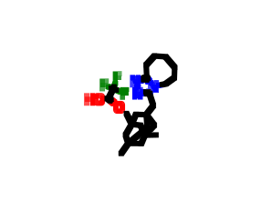 CC12CC3(C)CC(C)(C1)CC(Cc1nnc4n1CCCCCC4)(C2)C3.O=C(O)C(F)(F)F